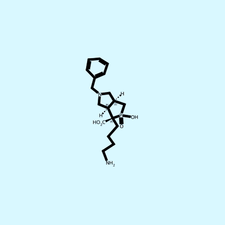 NCCCC[C@]1(C(=O)O)[C@H]2CN(Cc3ccccc3)C[C@H]2CP1(=O)O